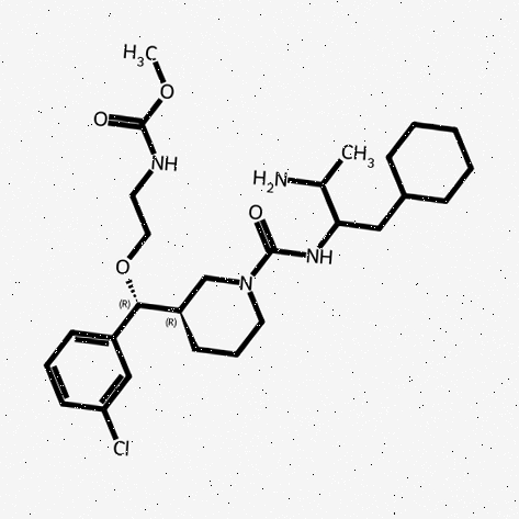 COC(=O)NCCO[C@@H](c1cccc(Cl)c1)[C@@H]1CCCN(C(=O)NC(CC2CCCCC2)C(C)N)C1